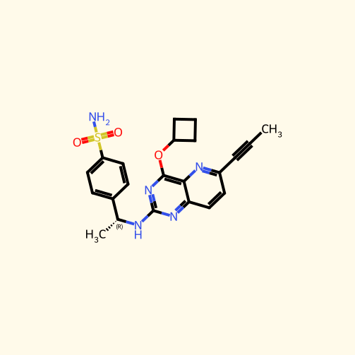 CC#Cc1ccc2nc(N[C@H](C)c3ccc(S(N)(=O)=O)cc3)nc(OC3CCC3)c2n1